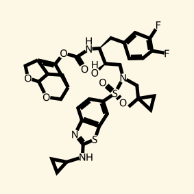 CC1(CN(C[C@@H](O)[C@H](Cc2ccc(F)c(F)c2)NC(=O)OC2=C3COC4OCC2CC34)S(=O)(=O)c2ccc3nc(NC4CC4)sc3c2)CC1